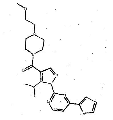 COCCN1CCN(C(=O)c2cnn(-c3nccc(-c4cccs4)n3)c2C(C)C)CC1